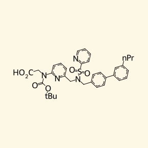 CCCc1cccc(-c2ccc(CN(Cc3cccc(N(CC(=O)O)C(=O)OC(C)(C)C)n3)S(=O)(=O)c3ccccn3)cc2)c1